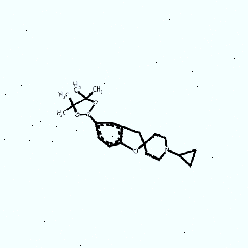 CC1(C)OB(c2ccc3c(c2)CC2(CCN(C4CC4)CC2)O3)OC1(C)C